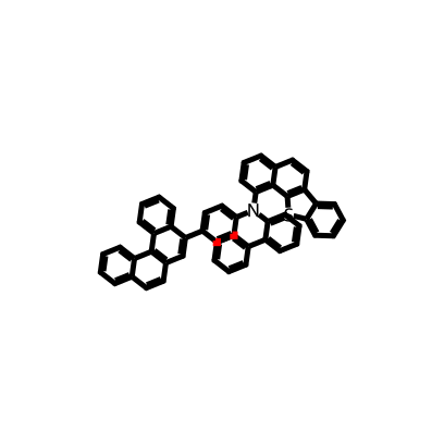 c1ccc(-c2ccccc2N(c2ccc(-c3cc4ccc5ccccc5c4c4ccccc34)cc2)c2cccc3ccc4c5ccccc5sc4c23)cc1